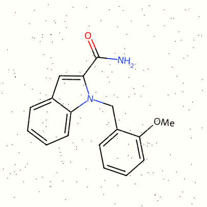 COc1ccccc1Cn1c(C(N)=O)cc2ccccc21